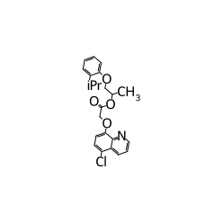 CC(COc1ccccc1C(C)C)OC(=O)COc1ccc(Cl)c2cccnc12